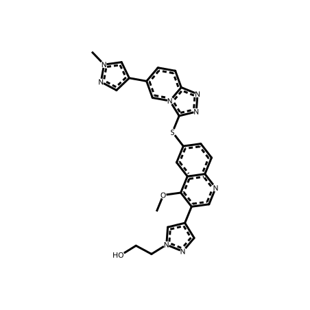 COc1c(-c2cnn(CCO)c2)cnc2ccc(Sc3nnc4ccc(-c5cnn(C)c5)cn34)cc12